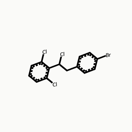 Clc1cccc(Cl)c1C(Cl)Cc1ccc(Br)cc1